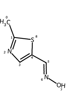 Cc1ncc(C=NO)s1